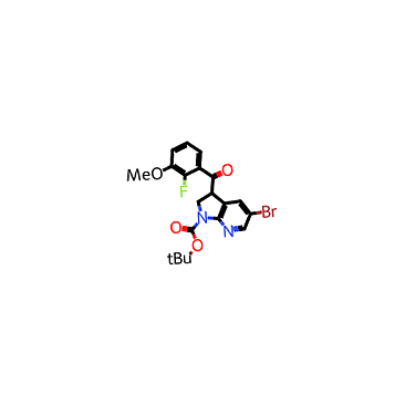 COc1cccc(C(=O)C2CN(C(=O)OC(C)(C)C)c3ncc(Br)cc32)c1F